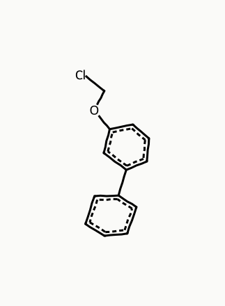 ClCOc1cccc(-c2ccccc2)c1